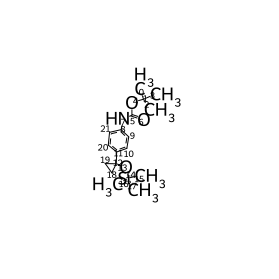 CC(C)(C)OC(=O)Nc1ccc(C2(O[Si](C)(C)C)CC2)cc1